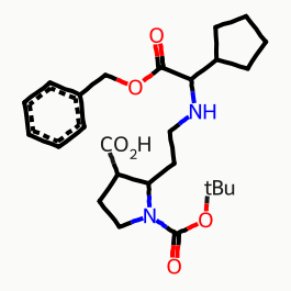 CC(C)(C)OC(=O)N1CCC(C(=O)O)C1CCNC(C(=O)OCc1ccccc1)C1CCCC1